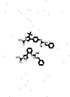 CSC(=Nc1ccc(-c2cn(C(=O)O)nc2C(C)(C)C)cc1)NCc1ccccc1.CSC(=Nc1ccccc1-c1cnn(C(=O)O)c1)NCc1ccccc1